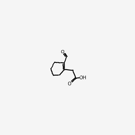 O=CC1=C(CC(=O)O)CCCC1